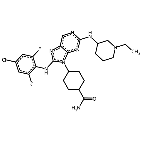 CCN1CCCC(Nc2ncc3nc(Nc4c(F)cc(Cl)cc4Cl)n(C4CCC(C(N)=O)CC4)c3n2)C1